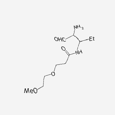 CCC(NC(=O)CCOCCOC)C(N)C=O